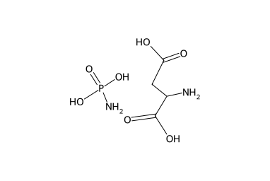 NC(CC(=O)O)C(=O)O.NP(=O)(O)O